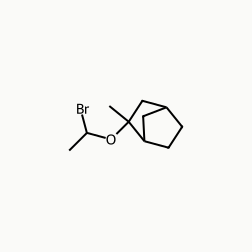 CC(Br)OC1(C)CC2CCC1C2